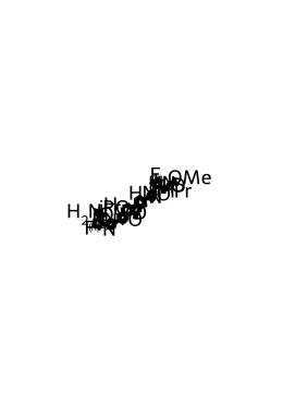 COC(=O)N[C@H](C(=O)N1C[C@H](F)C[C@H]1c1ncc(-c2ccc3c4c(c(=O)oc3c2)-c2ccc(-c3cnc([C@@H]5C[C@@H](F)CN5C(=O)[C@@H](N)C(C)C)[nH]3)cc2OC4)[nH]1)C(C)C